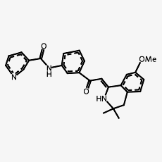 COc1ccc2c(c1)/C(=C/C(=O)c1cccc(NC(=O)c3cccnc3)c1)NC(C)(C)C2